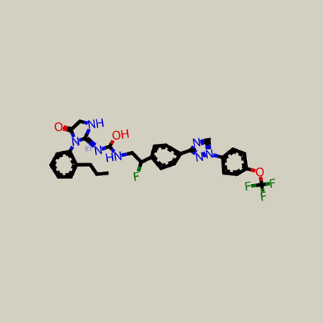 CCCc1ccccc1N1C(=O)CN/C1=N\C(O)NCC(F)c1ccc(-c2ncn(-c3ccc(OC(F)(F)F)cc3)n2)cc1